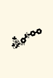 CC(C)(C)OC(=O)N1C(C)(C)OC[C@@]1(C)C(=O)Nc1ccc(-c2csc(-c3ccc(-c4ccccc4)cc3)n2)cc1